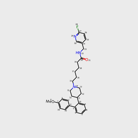 COc1ccc(-c2ccccc2C2CCN(CCCCCC(=O)NCc3ccc(F)nc3)CC2)cc1